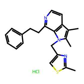 Cc1nc(Cn2c(C)c(C)c3ccnc(CCc4ccccc4)c32)cs1.Cl